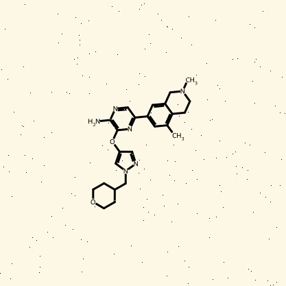 Cc1cc(-c2cnc(N)c(Oc3cnn(CC4CCOCC4)c3)n2)cc2c1CCN(C)C2